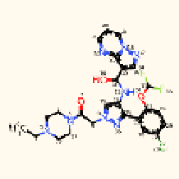 CCN1CCN(C(=O)Cn2cc(NC(O)c3cnn4cccnc34)c(-c3cc(Cl)ccc3OC(F)F)n2)CC1